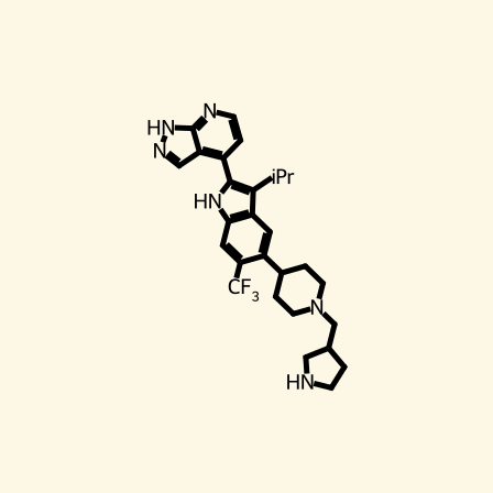 CC(C)c1c(-c2ccnc3[nH]ncc23)[nH]c2cc(C(F)(F)F)c(C3CCN(CC4CCNC4)CC3)cc12